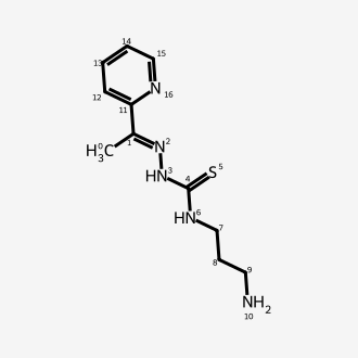 CC(=NNC(=S)NCCCN)c1ccccn1